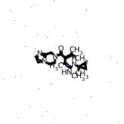 CN/C(NC1(C)CC1)=C(\C)C(C(=O)N1CCn2ccnc2C1)=C(C)C